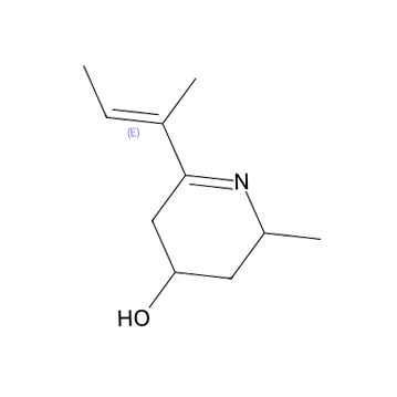 C/C=C(\C)C1=NC(C)CC(O)C1